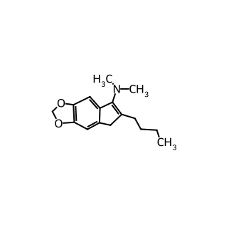 CCCCC1=C(N(C)C)c2cc3c(cc2C1)OCO3